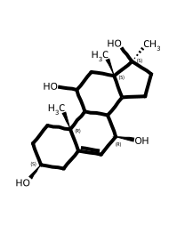 C[C@]12CC[C@H](O)CC1=C[C@H](O)C1C2C(O)C[C@@]2(C)C1CC[C@]2(C)O